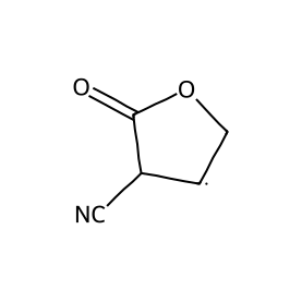 N#CC1[CH]COC1=O